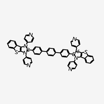 c1ccc2c3c(sc2c1)N(c1ccncc1)B(c1ccc(-c2ccc(-c4ccc(B5N(c6ccncc6)c6sc7ccccc7c6N5c5ccncc5)cc4)cc2)cc1)N3c1ccncc1